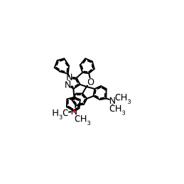 CN(C)c1ccc2c(c1)-c1cc(N(C)C)ccc1C21Oc2ccccc2-c2c1c(-c1ccccc1)nn2-c1ccccc1